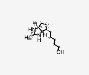 OCCCCC[C@@H]1SC[C@@H]2NC(O)N[C@@H]21